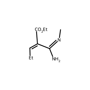 CC/C=C(C(=O)OCC)\C(N)=N/C